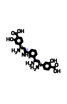 N/C(=C\N(N)c1ccc(C(=O)O)c(O)c1)c1cccc(/C(N)=C/N(N)c2ccc(C(=O)O)c(O)c2)c1